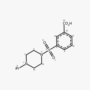 CC(C)N1CCN(S(=O)(=O)c2cccc(C(=O)O)c2)CC1